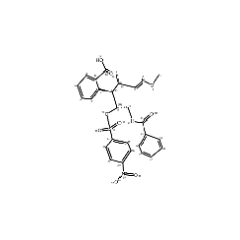 CON=C[C@H](F)[C@H](c1ccccc1C(=O)O)[C@H](COC(=O)c1ccccc1)OS(=O)(=O)c1ccc([N+](=O)[O-])cc1